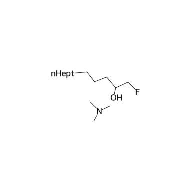 CCCCCCCCCCC(O)CF.CN(C)C